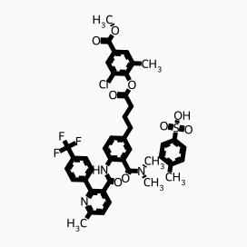 COC(=O)c1cc(C)c(OC(=O)CCCc2ccc(NC(=O)c3ccc(C)nc3-c3ccc(C(F)(F)F)cc3)c(C(=O)N(C)C)c2)c(Cl)c1.Cc1ccc(S(=O)(=O)O)cc1